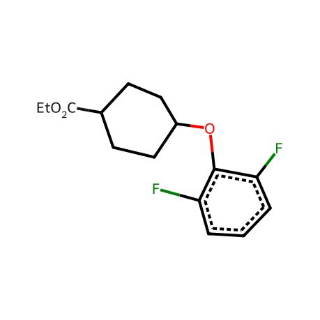 CCOC(=O)C1CCC(Oc2c(F)cccc2F)CC1